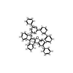 c1ccc(-c2cccc(-c3nc(-c4ccccc4)nc(-n4c5ccccc5c5c6ccccc6c6c7cc(-c8ccccc8)ccc7oc6c54)n3)c2)cc1